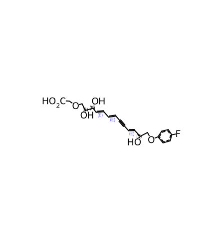 O=C(O)COC[C@@H](O)[C@H](O)/C=C/C=C/C#C/C=C/[C@H](O)COc1ccc(F)cc1